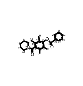 Cc1c(C)c(C(=O)N2CCCCC2)c(C)c(C)c1OC(=O)c1ccccc1